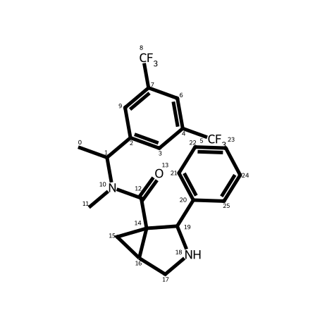 CC(c1cc(C(F)(F)F)cc(C(F)(F)F)c1)N(C)C(=O)C12CC1CNC2c1ccccc1